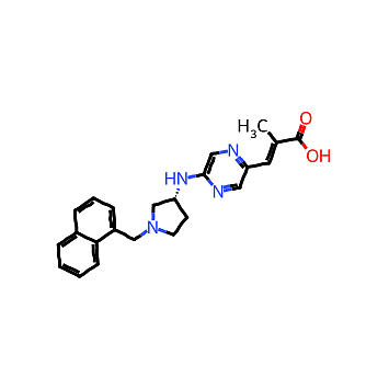 C/C(=C\c1cnc(N[C@@H]2CCN(Cc3cccc4ccccc34)C2)cn1)C(=O)O